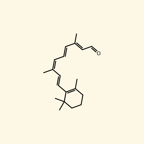 CC(C=C/C=C(/C)C=CC1=C(C)CCCC1(C)C)=CC=O